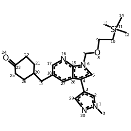 Cn1cc(-c2cn(COCC[Si](C)(C)C)c3ncc(CC4CCC(=O)CC4)cc23)cn1